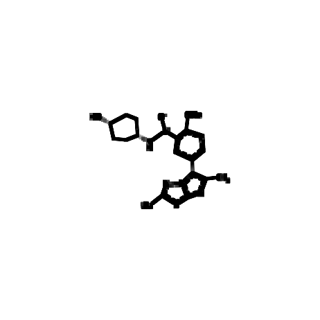 COc1ccc(-c2c(C)nc3sc(C(C)(C)C)nn23)cc1[S+]([O-])N[C@H]1CC[C@@H](O)CC1